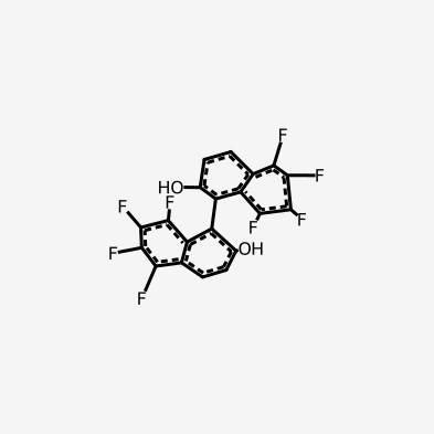 Oc1ccc2c(F)c(F)c(F)c(F)c2c1-c1c(O)ccc2c(F)c(F)c(F)c(F)c12